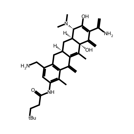 C=C(N)C1=C(O)[C@@H](N(C)C)[C@@H]2C[C@@H]3Cc4c(CN)cc(NC(=O)CCC(C)(C)C)c(C)c4C(=C)C3=C(C)[C@]2(O)C1=C